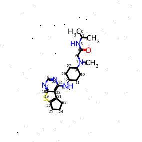 CC(C)NC(=O)CN(C)[C@H]1CC[C@H](Nc2ncnc3sc4c(c23)CCC4)CC1